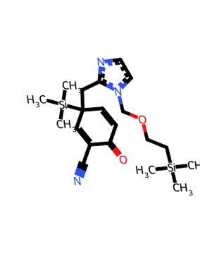 C[Si](C)(C)CCOCn1ccnc1CC1([Si](C)(C)C)C=CC(=O)C(C#N)=C1